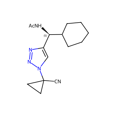 CC(=O)N[C@H](c1cn(C2(C#N)CC2)nn1)C1CCCCC1